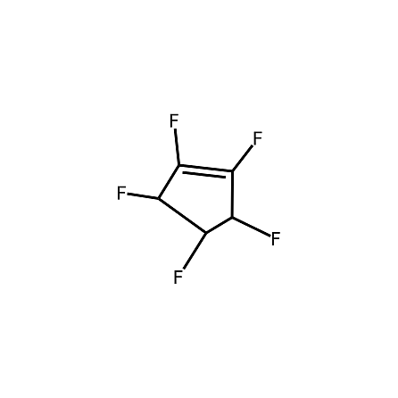 FC1=C(F)C(F)C(F)C1F